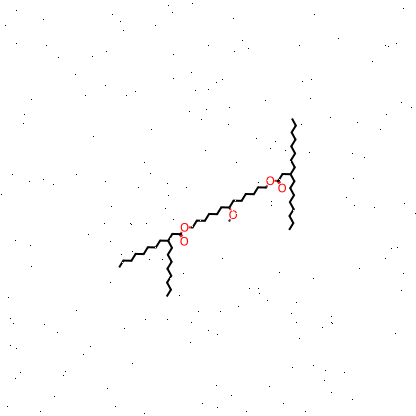 CCCCCCCCC(CCCCCCCC)CC(=O)OCCCCCCC(CCCCCCOC(=O)CC(CCCCCCCC)CCCCCCCC)OC